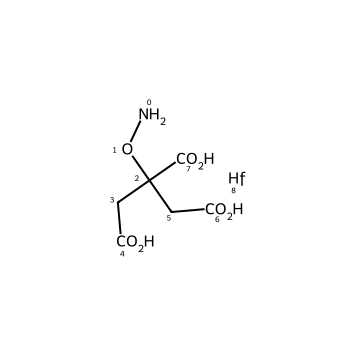 NOC(CC(=O)O)(CC(=O)O)C(=O)O.[Hf]